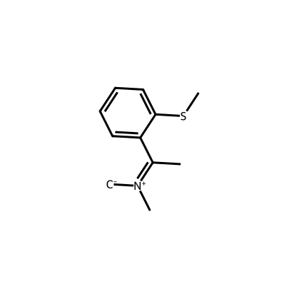 [CH2-]/[N+](C)=C(/C)c1ccccc1SC